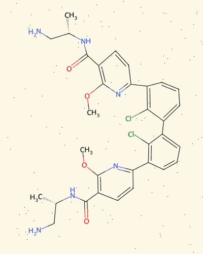 COc1nc(-c2cccc(-c3cccc(-c4ccc(C(=O)N[C@@H](C)CN)c(OC)n4)c3Cl)c2Cl)ccc1C(=O)N[C@@H](C)CN